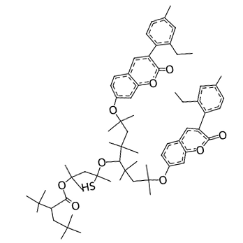 CCc1cc(C)ccc1-c1cc2ccc(OC(C)(C)CC(C)(C)C(OC(C)(S)CC(C)(C)OC(=O)C(CC(C)(C)C)C(C)(C)C)C(C)(C)CC(C)(C)Oc3ccc4cc(-c5ccc(C)cc5CC)c(=O)oc4c3)cc2oc1=O